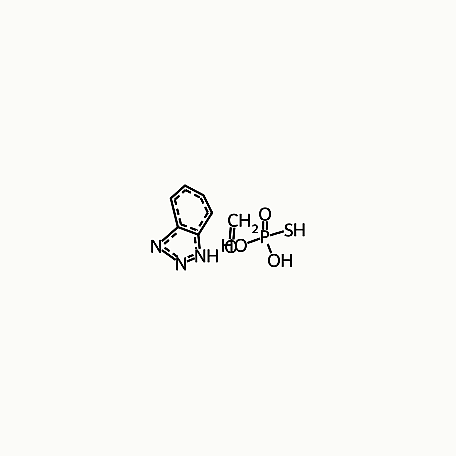 C=O.O=P(O)(O)S.c1ccc2[nH]nnc2c1